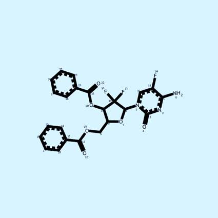 Nc1nc(=O)n(C2OC(COC(=O)c3ccccc3)C(OC(=O)c3ccccc3)C2(F)F)cc1F